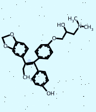 CC/C(=C(\c1ccc(O)cc1)c1ccc(OCC(O)CN(C)C)cc1)c1ccc2c(c1)OCO2